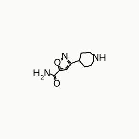 NC(=O)c1cc(C2CCNCC2)no1